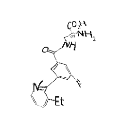 CCc1cccnc1-c1cc(F)cc(C(=O)NC[C@@H](N)C(=O)O)c1